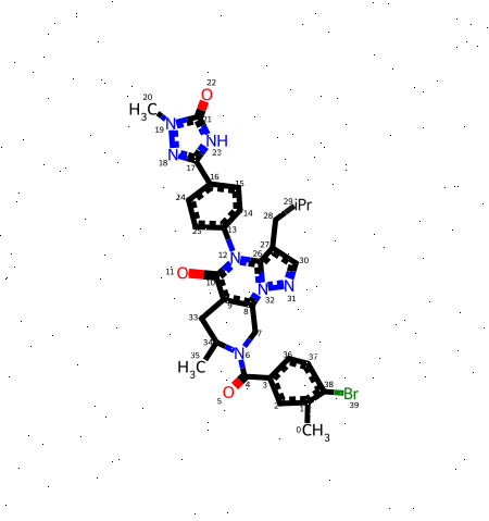 Cc1cc(C(=O)N2Cc3c(c(=O)n(-c4ccc(-c5nn(C)c(=O)[nH]5)cc4)c4c(CC(C)C)cnn34)CC2C)ccc1Br